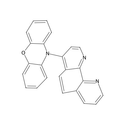 c1ccc2c(c1)Oc1ccccc1N2c1ccnc2c1ccc1cccnc12